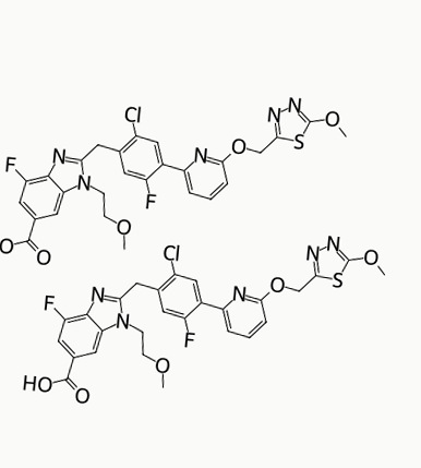 COCCn1c(Cc2cc(F)c(-c3cccc(OCc4nnc(OC)s4)n3)cc2Cl)nc2c(F)cc(C(=O)O)cc21.COCCn1c(Cc2cc(F)c(-c3cccc(OCc4nnc(OC)s4)n3)cc2Cl)nc2c(F)cc(C(=O)O)cc21